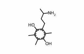 Cc1c(C)c(O)c(CCC(C)N)c(C)c1O